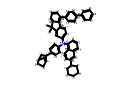 CC1(C)c2cc(N(c3ccc(C4CC5CCC4C5)cc3)c3cccc4cc(C5CCCCC5)ccc34)ccc2-c2c(-c3ccc(-c4ccccc4)cc3)cccc21